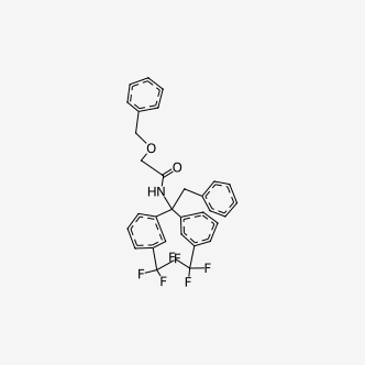 O=C(COCc1ccccc1)NC(Cc1ccccc1)(c1cccc(C(F)(F)F)c1)c1cccc(C(F)(F)F)c1